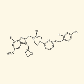 CC[C@H]1CN(c2cccc(OCc3ccc(C#N)cc3F)n2)CCN1Cc1nc2c(F)cc(C(=O)O)cc2n1C[C@@H]1CCO1